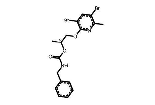 Cc1nc(OC[C@H](C)OC(=O)NCc2ccccc2)c(Br)cc1Br